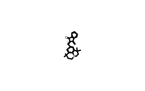 C=C1/C(=C\c2cc3c4c(c2)C(C)(C)CCN4CCC3(C)C)C(=O)c2ccccc21